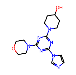 OC1CCN(c2nc(N3CCOCC3)nc(-n3ccnc3)n2)CC1